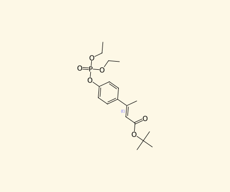 CCOP(=O)(OCC)Oc1ccc(/C(C)=C/C(=O)OC(C)(C)C)cc1